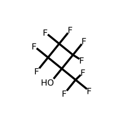 OC1(C(F)(F)F)C(F)(F)C(F)(F)C1(F)F